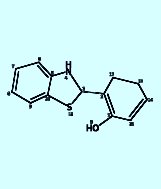 OC1=C(C2Nc3ccccc3S2)CCC=C1